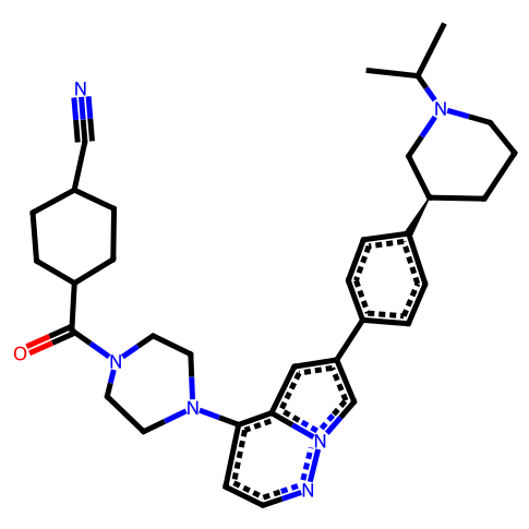 CC(C)N1CCC[C@@H](c2ccc(-c3cc4c(N5CCN(C(=O)C6CCC(C#N)CC6)CC5)ccnn4c3)cc2)C1